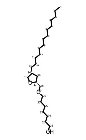 CCCCCCCCCCCCCC[C@@H]1CO[C@@H](COCCCCCCCO)C1